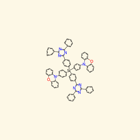 c1ccc(-c2nc(-c3ccccc3)nc(-c3ccc([Si](c4ccc(-c5nc(-c6ccccc6)nc(-c6ccccc6)n5)cc4)(c4ccc(N5c6ccccc6Oc6ccccc65)cc4)c4ccc(N5c6ccccc6Oc6ccccc65)cc4)cc3)n2)cc1